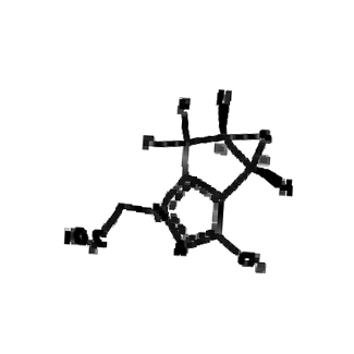 O=C(O)Cn1nc(C(F)(F)F)c2c1C(F)(F)[C@@H]1S[C@H]21